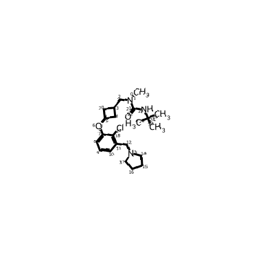 CN(CC1CC(Oc2cccc(CN3CCCC3)c2Cl)C1)C(=O)NC(C)(C)C